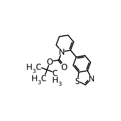 CC(C)(C)OC(=O)N1CCCC=C1c1ccc2ncsc2c1